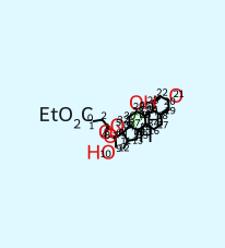 CCOC(=O)CCC(=O)O[C@]1(C(=O)CO)C(C)C[C@H]2[C@@H]3CCC4=CC(=O)C=C[C@]4(C)[C@@]3(F)C(O)C[C@@]21C